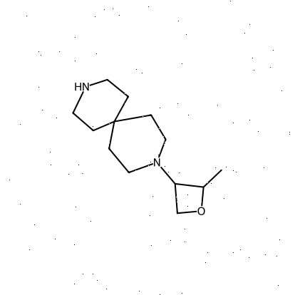 CC1OCC1N1CCC2(CCNCC2)CC1